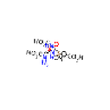 NC(CCC(=O)NC(CSc1ccc(C(=O)O)cc1N=O)C(=O)NCC(=O)O)C(=O)O